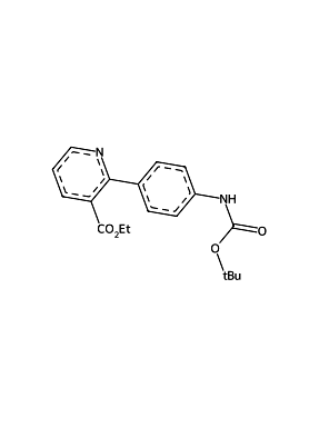 CCOC(=O)c1cccnc1-c1ccc(NC(=O)OC(C)(C)C)cc1